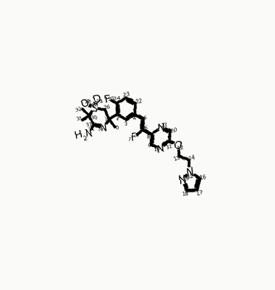 CC1(c2cc(C=C(F)c3cnc(OCCn4cccn4)cn3)ccc2F)CS(=O)(=O)C(C)(C)C(N)=N1